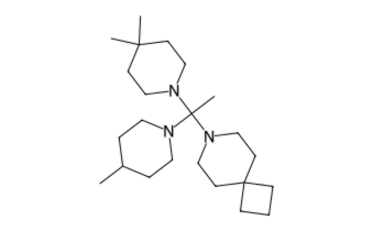 CC1CCN(C(C)(N2CCC(C)(C)CC2)N2CCC3(CCC3)CC2)CC1